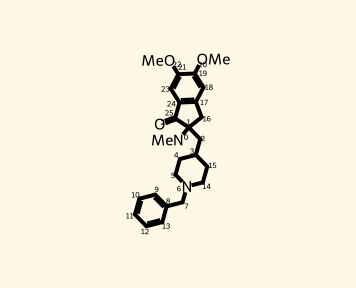 CNC1(CC2CCN(Cc3ccccc3)CC2)Cc2cc(OC)c(OC)cc2C1=O